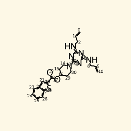 C=CCNc1nc(NCC=C)nc(N2CCC(OC(=O)c3cc4ccccc4s3)CC2)n1